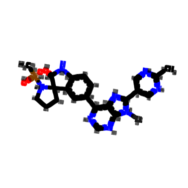 CCn1c(-c2cnc(C)nc2)nc2c(-c3ccc4c(c3)C3(CCCN3S(C)(=O)=O)C(=O)N4)ncnc21